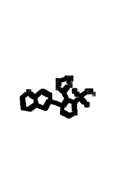 CS(=O)(=O)c1nccc(-c2ccc3ncccc3c2)c1-c1nn[nH]n1